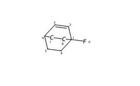 FC12C=CC(CC1)CC2